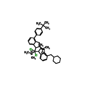 CC1=Cc2c(CC3CCCCC3)cccc2[CH]1[Zr]([Cl])([Cl])([CH]1C(C(C)C)=Cc2c(-c3ccc(C(C)(C)C)cc3)cccc21)[SiH](C)C